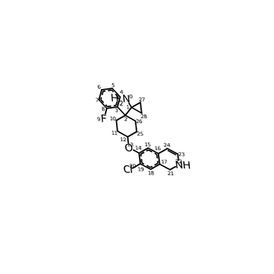 NC1(C2(c3ccccc3F)CCC(Oc3cc4c(cc3Cl)CNC=C4)CC2)CC1